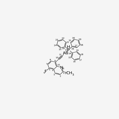 Cc1ccc2c(F)ccc(C#[C][Au][PH](c3ccccc3)(c3ccccc3)c3ccccc3)c2n1